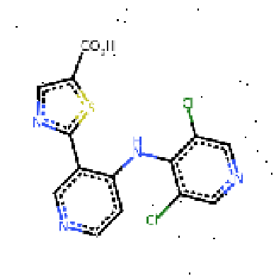 O=C(O)c1cnc(-c2cnccc2Nc2c(Cl)cncc2Cl)s1